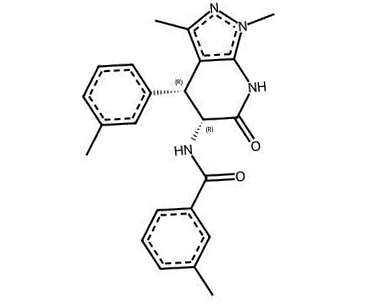 Cc1cccc(C(=O)N[C@H]2C(=O)Nc3c(c(C)nn3C)[C@H]2c2cccc(C)c2)c1